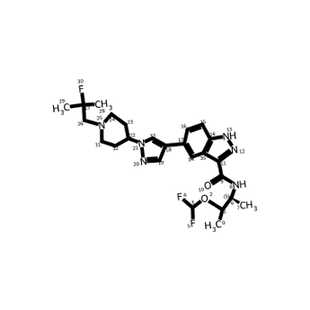 CC(OC(F)F)[C@H](C)NC(=O)c1n[nH]c2ccc(-c3cnn(C4CCN(CC(C)(C)F)CC4)c3)cc12